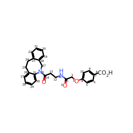 O=C(COc1ccc(C(=O)O)cc1)NCCC(=O)N1Cc2ccccc2CCc2ccccc21